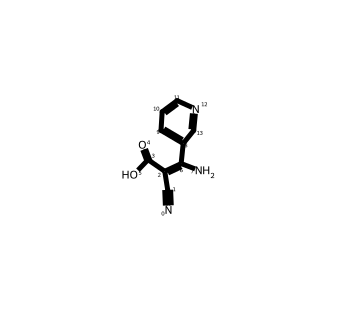 N#CC(C(=O)O)=C(N)c1cccnc1